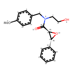 COc1ccc(CN(CCO)C(=O)[C@H]2O[C@@H]2c2ccccc2)cc1